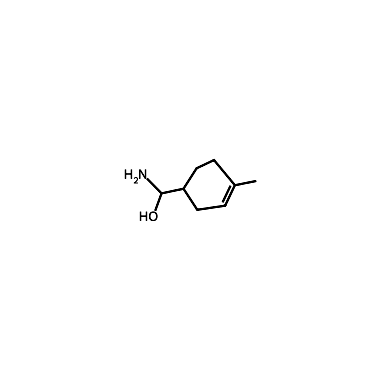 CC1=CCC(C(N)O)CC1